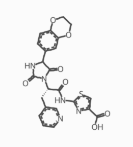 O=C(O)c1csc(NC(=O)[C@H](Cc2cccnc2)N2C(=O)NC(c3ccc4c(c3)OCCO4)C2=O)n1